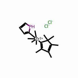 CC1=C(C)C(C)(C)[C]([Zr+2]([CH3])([CH3])([CH3])([CH3])[c]2ccc[pH]2)=C1C.[Cl-].[Cl-]